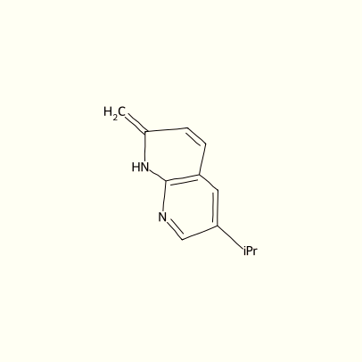 C=C1C=Cc2cc(C(C)C)cnc2N1